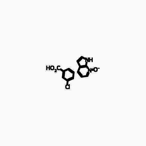 O=C(O)c1cccc(Cl)c1.[O-][n+]1cccc2cc[nH]c21